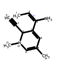 C#CC1C(/C(N)=C\C)=CC(C)=CN1C